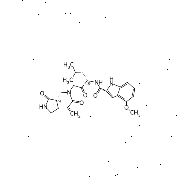 C=CC(=O)N(CC(=O)[C@H](CC(C)C)NC(=O)c1cc2c(OC)cccc2[nH]1)C[C@@H]1CCNC1=O